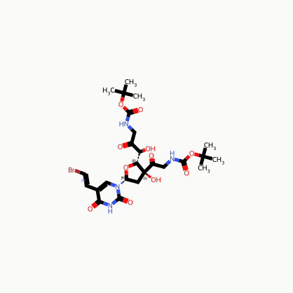 CC(C)(C)OC(=O)NCC(=O)C(O)[C@H]1O[C@@H](n2cc(/C=C/Br)c(=O)[nH]c2=O)C[C@@]1(O)C(=O)CNC(=O)OC(C)(C)C